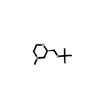 CN1CCO[C@@H](COC(C)(C)C)C1